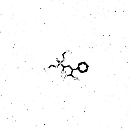 CCOP(=O)(OCC)[C](C)CC(c1ccccc1)C(C)C